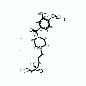 C=CS(=O)(=O)CCCN1CCN(C(=O)c2ccc(OC)c(N)c2)CC1